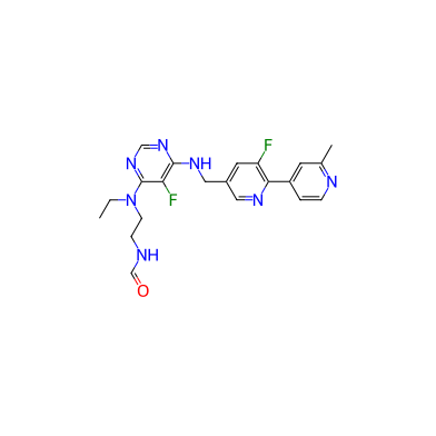 CCN(CCNC=O)c1ncnc(NCc2cnc(-c3ccnc(C)c3)c(F)c2)c1F